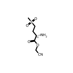 CS(=O)(=O)CC[C@H](N)C(=O)OCC#N